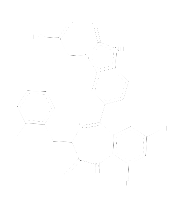 O=C(O)Cn1c(=O)[nH]c2ccc(C3=NC(Cc4ccccc4F)C(=O)Nc4c(F)cc(Cl)cc43)cc21